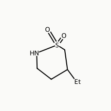 CCC1CCNS(=O)(=O)C1